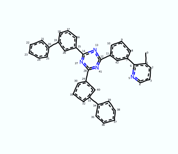 Cc1cccnc1-c1cccc(-c2nc(-c3cccc(-c4ccccc4)c3)nc(-c3cccc(-c4ccccc4)c3)n2)c1